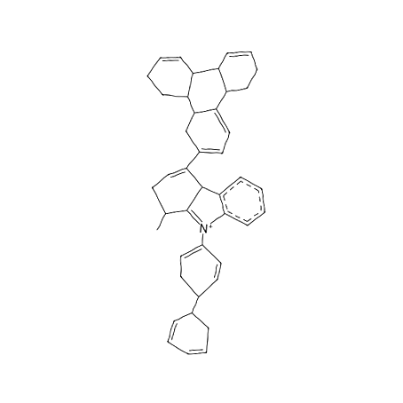 CC1CC=C(C2=CC=C3C4CCC=CC4C4C=CCCC4C3C2)C2C1=[N+](C1=CCC(C3C=CC=CC3)C=C1)c1ccccc12